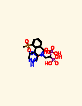 CS(=O)(=O)c1cccc(C(=O)N(CC(P(=O)(O)O)P(=O)(O)O)C(=N)N)c1C1CCNCC1